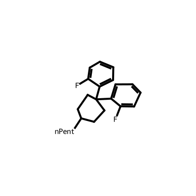 CCCCCC1CCC(c2ccccc2F)(c2ccccc2F)CC1